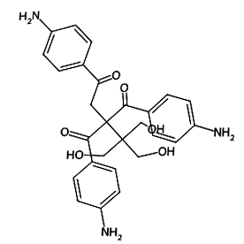 Nc1ccc(C(=O)CC(C(=O)c2ccc(N)cc2)(C(=O)c2ccc(N)cc2)C(CO)(CO)CO)cc1